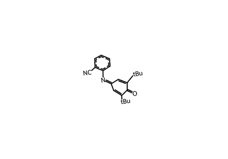 CC(C)(C)C1=CC(=Nc2ccccc2C#N)C=C(C(C)(C)C)C1=O